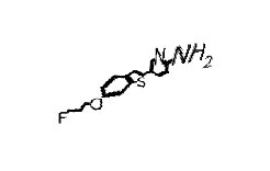 Nc1ccc(-c2cc3ccc(OCCCF)cc3s2)cn1